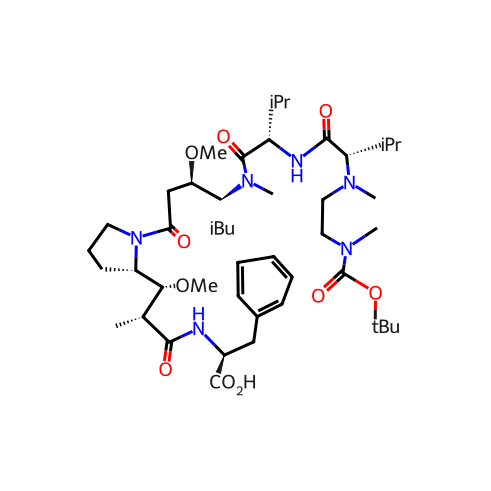 CC[C@H](C)[C@@H]([C@@H](CC(=O)N1CCC[C@H]1[C@H](OC)[C@@H](C)C(=O)N[C@@H](Cc1ccccc1)C(=O)O)OC)N(C)C(=O)[C@@H](NC(=O)[C@H](C(C)C)N(C)CCN(C)C(=O)OC(C)(C)C)C(C)C